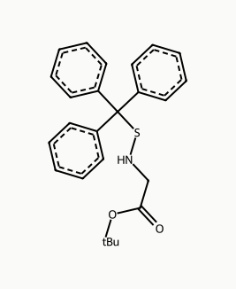 CC(C)(C)OC(=O)CNSC(c1ccccc1)(c1ccccc1)c1ccccc1